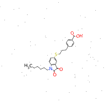 CCCCCCN1C(=O)C(=O)c2cc(SCCCc3ccc(C(=O)O)cc3)ccc21